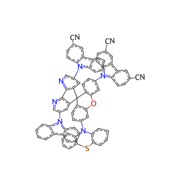 N#Cc1ccc2c(c1)c1ccccc1n2-c1cnc2c(c1)C1(c3ccc(N4c5ccccc5Sc5ccccc54)cc3Oc3cc(-n4c5ccc(C#N)cc5c5cc(C#N)ccc54)ccc31)c1cc(-n3c4ccccc4c4ccccc43)cnc1-2